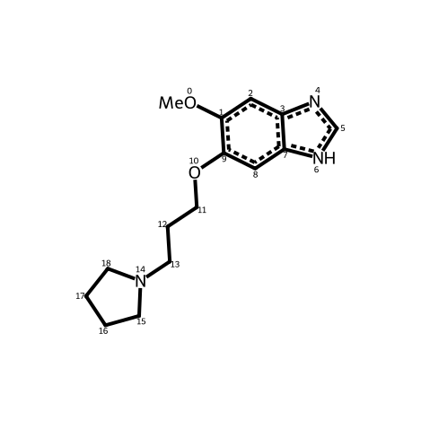 COc1cc2nc[nH]c2cc1OCCCN1CCCC1